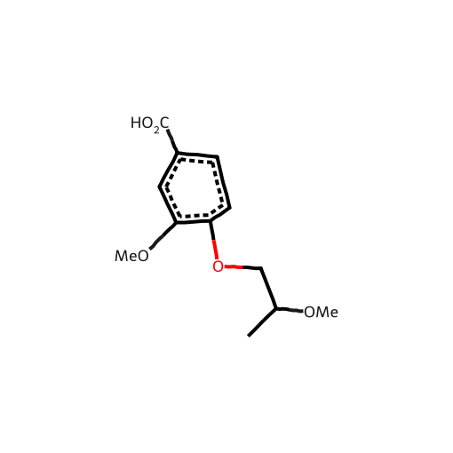 COc1cc(C(=O)O)ccc1OCC(C)OC